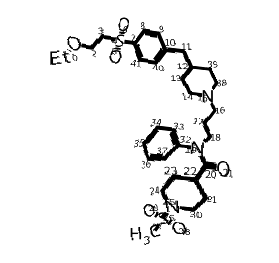 CCOCCS(=O)(=O)c1ccc(CC2CCN(CCCN(C(=O)C3CCN(S(C)(=O)=O)CC3)c3ccccc3)CC2)cc1